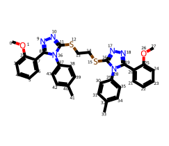 COc1ccccc1-c1nnc(SCCSc2nnc(-c3ccccc3OC)n2-c2ccc(C)cc2)n1-c1ccc(C)cc1